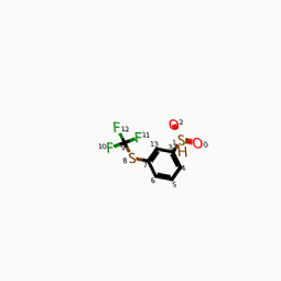 O=[SH](=O)c1cccc(SC(F)(F)F)c1